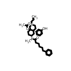 C=CCN1CC[C@@]2(c3cccc(O)c3)C[C@H](N(C)C(=O)CCCCCc3ccccc3)CC[C@]2(OC(C)=O)C1